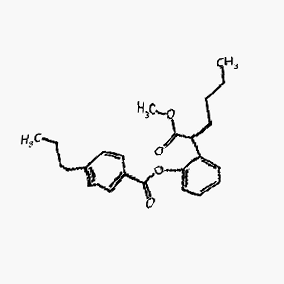 CCCCC(C(=O)OC)c1ccccc1OC(=O)c1ccc(CCC)cc1